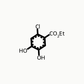 CCOC(=O)c1cc(O)c(O)cc1Cl